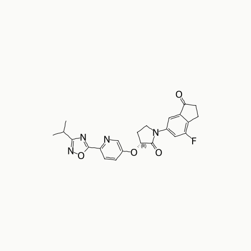 CC(C)c1noc(-c2ccc(O[C@@H]3CCN(c4cc(F)c5c(c4)C(=O)CC5)C3=O)cn2)n1